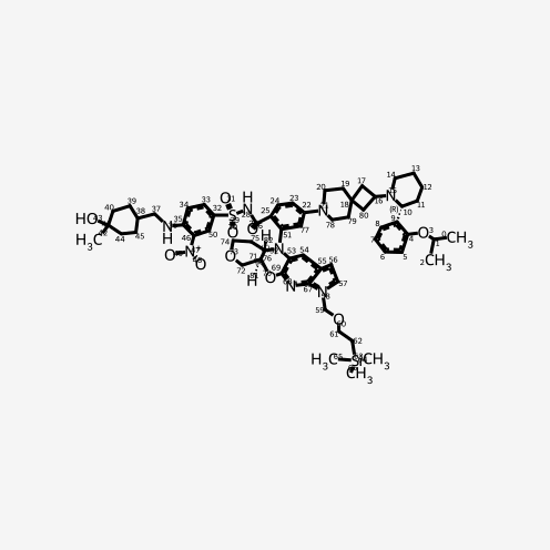 CC(C)Oc1ccccc1[C@H]1CCCCN1C1CC2(CCN(c3ccc(C(=O)NS(=O)(=O)c4ccc(NCC5CCC(C)(O)CC5)c([N+](=O)[O-])c4)c(N4c5cc6ccn(COCC[Si](C)(C)C)c6nc5O[C@H]5COCC[C@@H]54)c3)CC2)C1